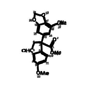 COC(=O)C(CC=O)(c1ccc(OC)cc1)c1cc(OC)c2c(c1)OCO2